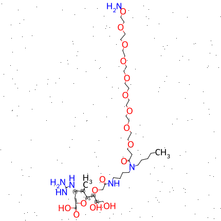 CCCCCN(CCCCNC(=O)CO[C@@H]([C@@H]1OC(C(=O)O)=C[C@H](NC(=N)N)[C@H]1C)[C@H](O)CO)C(=O)CCOCCOCCOCCOCCOCCOCCOCCOCCON